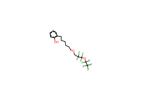 Oc1cc[c]cc1CCCCCCOCC(F)(F)C(F)(F)OC(F)(F)C(F)(F)F